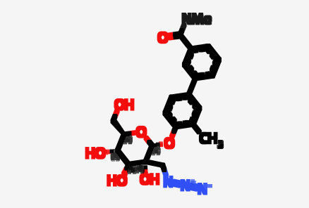 CNC(=O)c1cccc(-c2ccc(O[C@H]3O[C@H](CO)[C@@H](O)[C@H](O)[C@]3(O)CN=[N+]=[N-])c(C)c2)c1